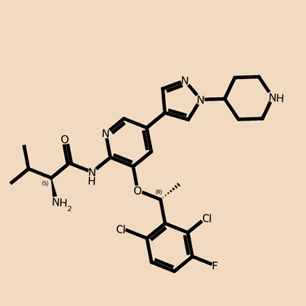 CC(C)[C@H](N)C(=O)Nc1ncc(-c2cnn(C3CCNCC3)c2)cc1O[C@H](C)c1c(Cl)ccc(F)c1Cl